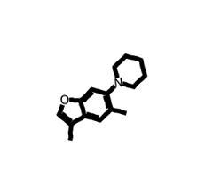 Cc1cc2c(C)coc2cc1N1CCCCC1